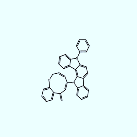 C=C1/C=C(n2c3ccccc3c3ccc4c(c5ccccc5n4-c4ccccc4)c32)\C=C/COc2ccccc21